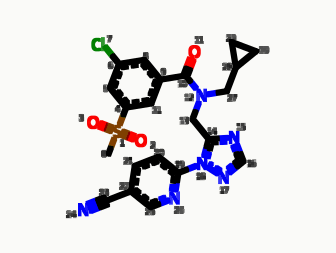 CS(=O)(=O)c1cc(Cl)cc(C(=O)N(Cc2ncnn2-c2ccc(C#N)cn2)CC2CC2)c1